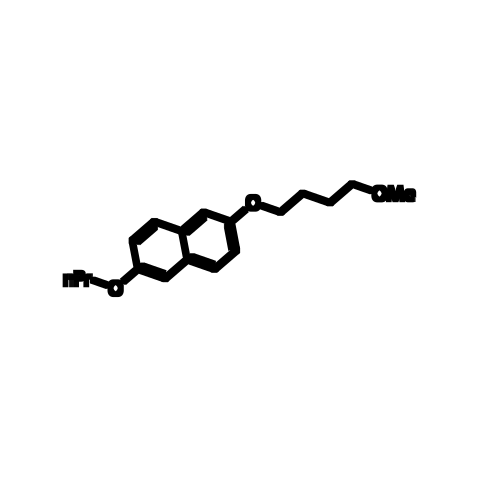 CCCOc1ccc2cc(OCCCCOC)ccc2c1